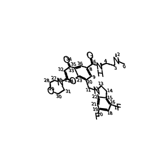 CN(C)CCNC(=O)c1cc(CN2CCc3c(F)cc(F)cc32)c2oc(N3CCOCC3)cc(=O)c2c1